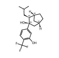 CN(C)C[C@H]1[C@@H]2CC[C@@H](C2)C[C@]1(O)c1ccc(C(F)(F)F)c(O)c1